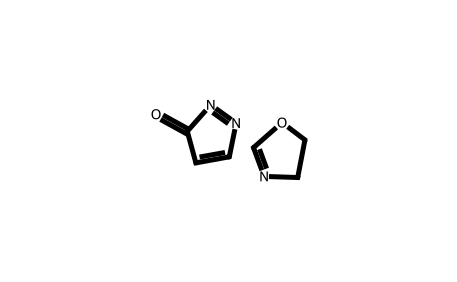 C1=NCCO1.O=C1C=CN=N1